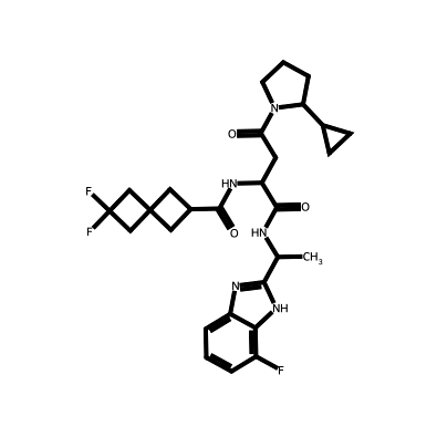 CC(NC(=O)C(CC(=O)N1CCCC1C1CC1)NC(=O)C1CC2(C1)CC(F)(F)C2)c1nc2cccc(F)c2[nH]1